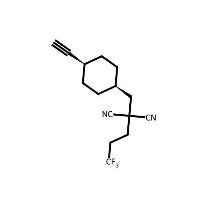 C#C[C@H]1CC[C@@H](CC(C#N)(C#N)CCC(F)(F)F)CC1